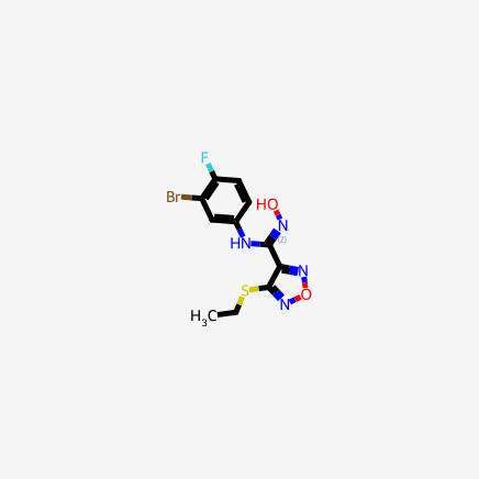 CCSc1nonc1/C(=N/O)Nc1ccc(F)c(Br)c1